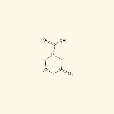 O=C1COCC(C(=O)O)C1